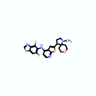 CN1CCC(c2cc3c(Nc4c(F)cc5scnc5c4F)ccnc3s2)C12CCOCC2